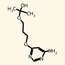 CC(C)(O)OCCCOc1cc(N)ncn1